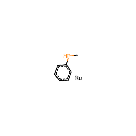 CPc1ccccc1.[Ru]